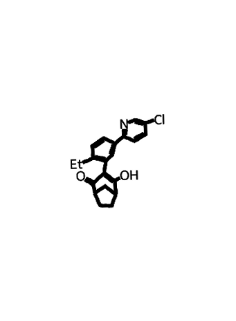 CCc1ccc(-c2ccc(Cl)cn2)cc1C1=C(O)C2CCC(C2)C1=O